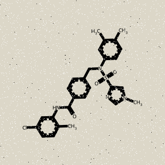 Cc1ccc(N(Cc2ccc(C(=O)Nc3cc(Cl)ccc3C)cc2)S(=O)(=O)c2cn(C)cn2)cc1C